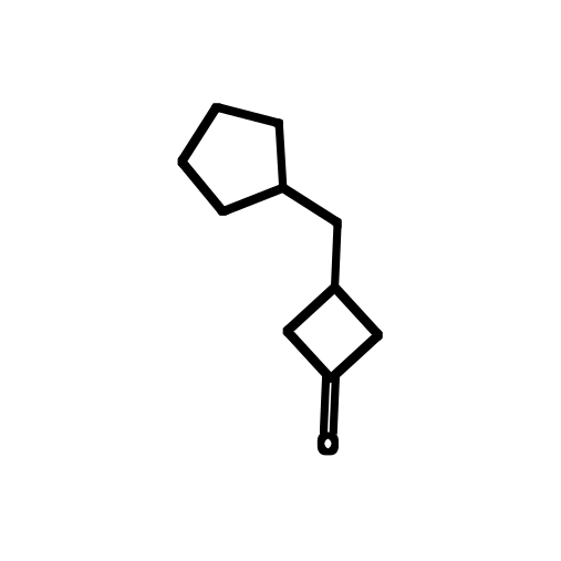 O=C1CC(CC2CCCC2)C1